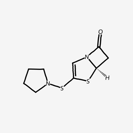 O=C1C[C@H]2SC(SN3CCCC3)=CN12